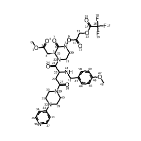 COC(=O)C[C@H]1C(=O)N(OC(=O)COC(=O)C(F)(F)F)CCN1C(=O)C(CC(=O)N1CCN(c2ccncc2)CC1)NCc1ccc(OC)cc1